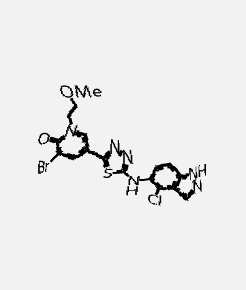 COCCn1cc(-c2nnc(Nc3ccc4[nH]ncc4c3Cl)s2)cc(Br)c1=O